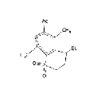 CCC1CCS(=O)(=O)c2c(C)cc(C(C)=O)c(C)c21